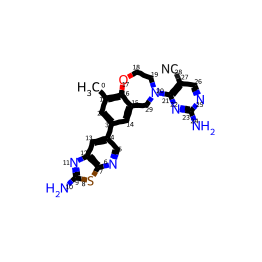 Cc1cc(-c2cnc3sc(N)nc3c2)cc2c1OCCN(c1nc(N)ncc1C#N)C2